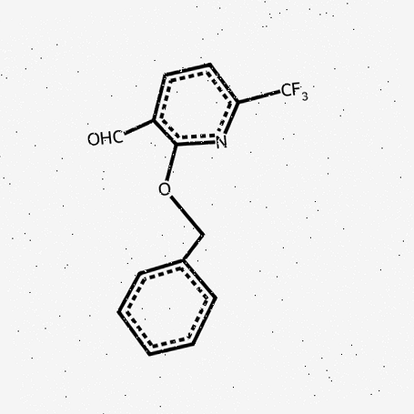 O=Cc1ccc(C(F)(F)F)nc1OCc1ccccc1